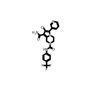 NC(=O)c1c(Cl)c(-c2cccnc2)n2c1CN(C(=O)Nc1ccc(C(F)(F)F)cc1)CC2